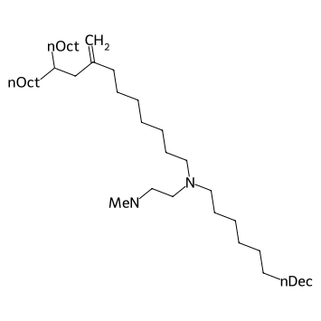 C=C(CCCCCCCN(CCCCCCCCCCCCCCCC)CCNC)CC(CCCCCCCC)CCCCCCCC